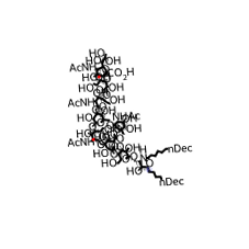 CCCCCCCCCCCCC/C=C/[C@@H](O)[C@H](CO[C@@H]1OC(CO)[C@@H](O[C@@H]2OC(CO)[C@H](O)[C@H](O[C@@H]3OC(CO)[C@@H](O[C@@H]4OC(CO[C@@H]5OC(CO)[C@@H](O)[C@H](O)C5NC(C)=O)[C@H](O)[C@H](O[C@@H]5OC(CO)[C@@H](O[C@@H]6OC(CO)[C@H](O)[C@H](O[C@]7(C(=O)O)CC(O)[C@@H](NC(C)=O)C([C@H](O)[C@H](O)CO)O7)C6O)[C@H](O)C5NC(C)=O)C4O)[C@H](O)C3NC(C)=O)C2O)[C@H](O)C1O)NC(=O)CCCCCCCCCCCCCCC